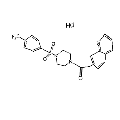 Cl.O=C(c1ccc2cccnc2c1)N1CCN(S(=O)(=O)c2ccc(C(F)(F)F)cc2)CC1